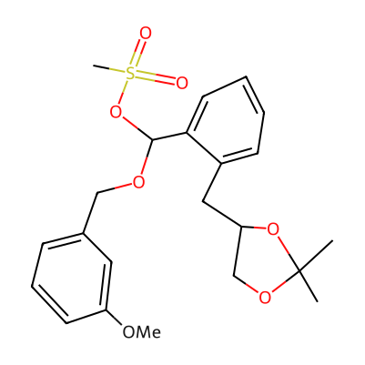 COc1cccc(COC(OS(C)(=O)=O)c2ccccc2CC2COC(C)(C)O2)c1